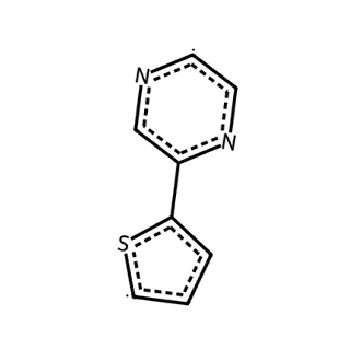 [c]1cnc(-c2cc[c]s2)cn1